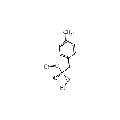 [CH2]c1ccc(CP(=O)(OCC)OCC)cc1